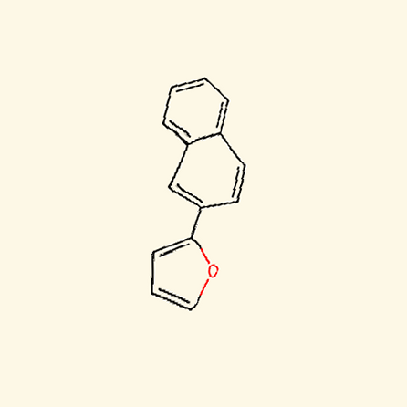 c1coc(-c2ccc3ccccc3c2)c1